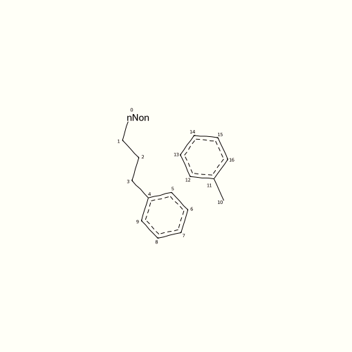 CCCCCCCCCCCCc1ccccc1.Cc1ccccc1